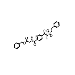 O=C(CNC(=O)c1ccc(C(=O)NS(=O)(=O)CCc2ccccc2)cn1)OCc1ccccc1